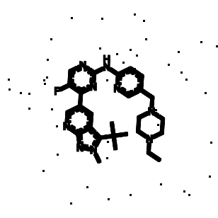 CCN1CCN(Cc2ccc(Nc3ncc(F)c(-c4cnc5nn(C)c(C(C)(C)C)c5c4)n3)nc2)CC1